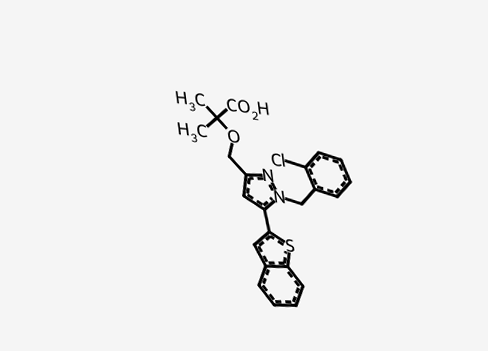 CC(C)(OCc1cc(-c2cc3ccccc3s2)n(Cc2ccccc2Cl)n1)C(=O)O